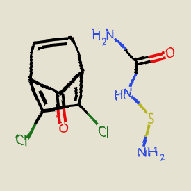 NSNC(N)=O.O=C1C2=C(Cl)C(Cl)=C1C=C2